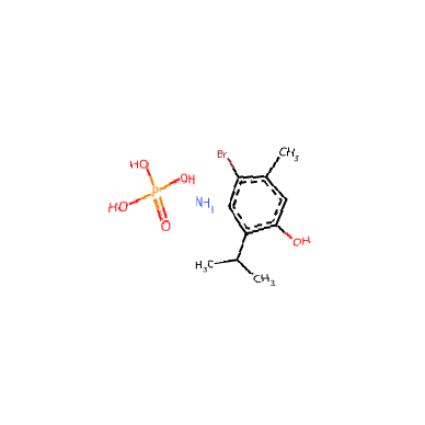 Cc1cc(O)c(C(C)C)cc1Br.N.O=P(O)(O)O